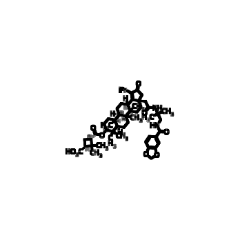 CC(C)C1=C2[C@H]3CC[C@@H]4[C@@]5(C)CC[C@H](OC(=O)[C@H]6C[C@@H](C(=O)O)C6(C)C)C(C)(C)[C@@H]5CC[C@@]4(C)[C@]3(C)CC[C@@]2(CC(=O)NC(C)(C)CNC(=O)c2ccc3c(c2)OCO3)CC1=O